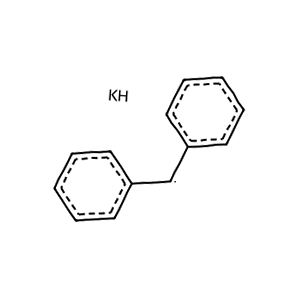 [CH](c1ccccc1)c1ccccc1.[KH]